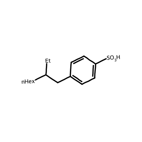 CCCCCCC(CC)Cc1ccc(S(=O)(=O)O)cc1